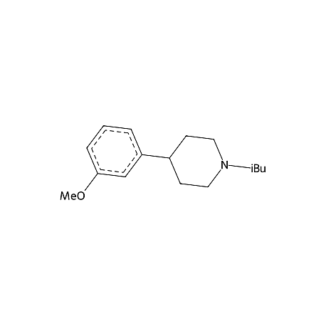 [CH2]CC(C)N1CCC(c2cccc(OC)c2)CC1